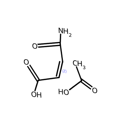 CC(=O)O.NC(=O)/C=C\C(=O)O